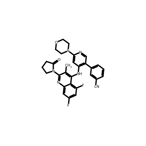 Cc1c(N2CCCC2=O)nc2cc(F)cc(F)c2c1Nc1cc(N2CCOCC2)ncc1-c1cccc(C#N)c1